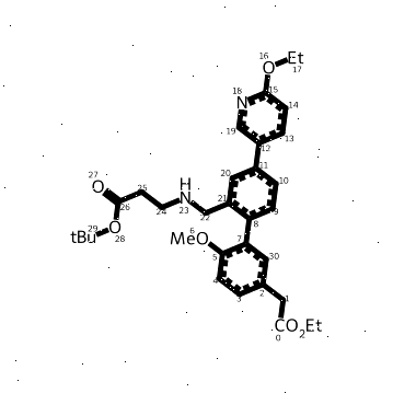 CCOC(=O)Cc1ccc(OC)c(-c2ccc(-c3ccc(OCC)nc3)cc2CNCCC(=O)OC(C)(C)C)c1